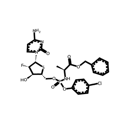 C[C@H](NP(=O)(OC[C@H]1S[C@@H](n2ccc(N)nc2=O)[C@@H](F)[C@@H]1O)Oc1ccc(Cl)cc1)C(=O)OCc1ccccc1